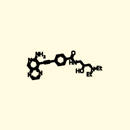 CCN(CC)CC(O)CNC(=O)c1ccc(C#Cc2c(N)ncc3nccnc23)cc1